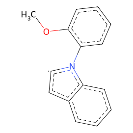 COc1ccccc1-n1[c]cc2ccccc21